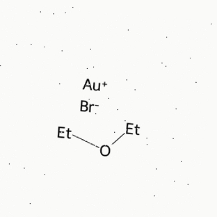 CCOCC.[Au+].[Br-]